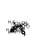 CC(C)C[C@H](NC(=O)[C@H](CNS(=O)(=O)c1ccc(F)cc1)NC(=O)OC(C)(C)C)B1OC2C[C@@H]3C[C@@H](C3(C)C)[C@]2(C)O1